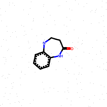 O=C1CC[N]c2ccccc2N1